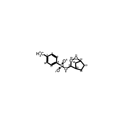 Cc1ccc(S(=O)(=O)OC2OOC3CCC2C3)cc1